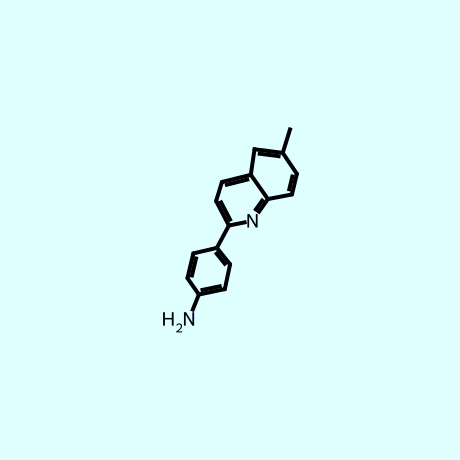 Cc1ccc2nc(-c3ccc(N)cc3)ccc2c1